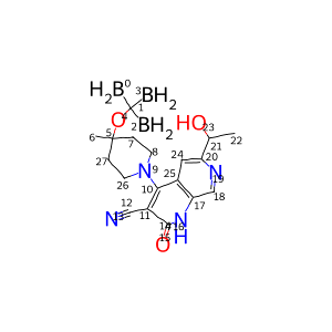 BC(B)(B)OC1(C)CCN(c2c(C#N)c(=O)[nH]c3cnc(C(C)O)cc23)CC1